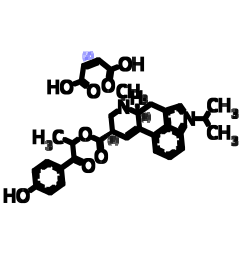 CC(OC(=O)[C@@H]1C=C2c3cccc4c3c(cn4C(C)C)C[C@H]2N(C)C1)C(=O)c1ccc(O)cc1.O=C(O)/C=C\C(=O)O